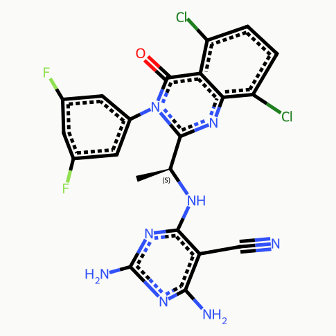 C[C@H](Nc1nc(N)nc(N)c1C#N)c1nc2c(Cl)ccc(Cl)c2c(=O)n1-c1cc(F)cc(F)c1